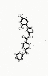 O=C(Nc1nc(-c2ccc(Cl)cc2Cl)cs1)c1ccc(Nc2ccncn2)cc1